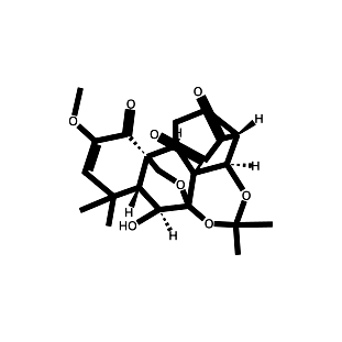 COC1=CC(C)(C)[C@H]2[C@H](O)C34OC[C@]2(C1=O)[C@@H]1CC[C@H]2C(=O)C(=O)[C@]13[C@@H]2OC(C)(C)O4